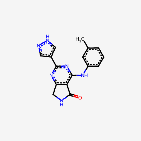 Cc1cccc(Nc2nc(-c3cn[nH]c3)nc3c2C(=O)NC3)c1